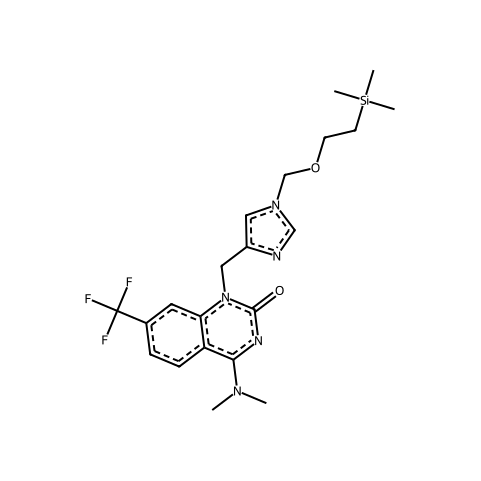 CN(C)c1nc(=O)n(Cc2cn(COCC[Si](C)(C)C)cn2)c2cc(C(F)(F)F)ccc12